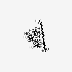 CCCCCCCCC=CCCCCCCCC(=O)O.OCC1OC(OCC2OC(OC3(CO)OC(CO)C(O)C3O)C(O)C(O)C2O)C(O)C(O)C1O